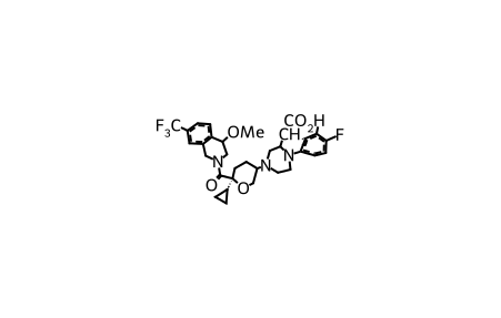 COC1CN(C(=O)[C@@]2(C3CC3)CCC(N3CCN(c4ccc(F)c(C(=O)O)c4)C(C)C3)CO2)Cc2cc(C(F)(F)F)ccc21